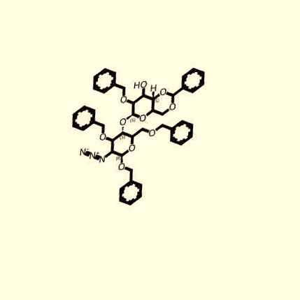 [N-]=[N+]=NC1C(OCc2ccccc2)[C@H](O[C@@H]2OC3COC(c4ccccc4)O[C@H]3C(O)C2OCc2ccccc2)C(COCc2ccccc2)O[C@H]1OCc1ccccc1